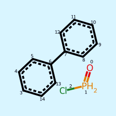 O=[PH2]Cl.c1ccc(-c2ccccc2)cc1